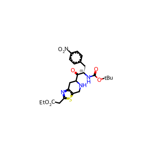 CCOC(=O)Cc1nc2c(s1)CNC(C(=O)[C@H](Cc1ccc([N+](=O)[O-])cc1)NC(=O)OC(C)(C)C)C2